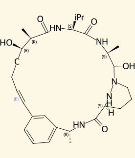 CC(C)[C@@H]1NC(=O)[C@H](C)[C@H](O)CC/C=C/c2cccc(c2)[C@@H](C)NC(=O)[C@@H]2CCCN(N2)C(O)[C@H](C)NC1=O